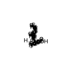 CN(Cc1cc(C(F)(F)F)ccc1N1CCC(C(=O)O)CC1)c1ccc(N2CCN(c3cccc(C(F)(F)F)c3)CC2)c(C(F)(F)F)c1